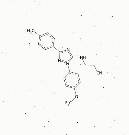 Cc1ccc(-c2nc(NCCC#N)n(-c3ccc(OC(F)(F)F)cc3)n2)cc1